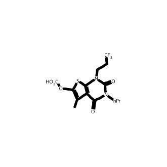 CCCn1c(=O)c2c(C)c(OC(=O)O)sc2n(CCC(F)(F)F)c1=O